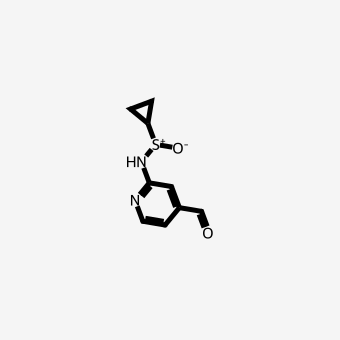 O=Cc1ccnc(N[S+]([O-])C2CC2)c1